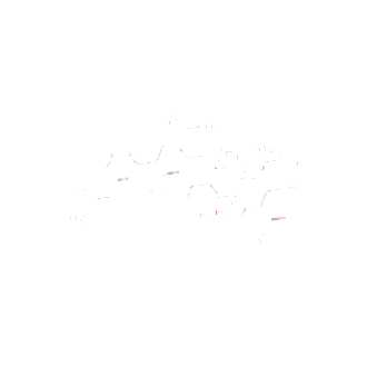 CC(=O)C1=C(O)C(C(C)C)[C@@]2(C)C[C@@]3(C)Cc4c(C(C)C)cc(-c5cccc(CC(C)C)c5)c(O)c4C(=O)C3=C(O)[C@@]2(O)C1=O